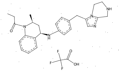 CCC(=O)N1c2ccccc2[C@H](Nc2ccc(Cc3cnc4n3CCNC4)cc2)C[C@@H]1C.O=C(O)C(F)(F)F